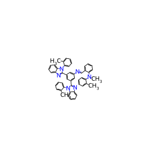 Cc1ccccc1N(C)c1ccccc1/C=N/c1cc(-c2nc3ccccc3n2-c2ccccc2C)cc(-c2nc3ccccc3n2-c2ccccc2C)c1